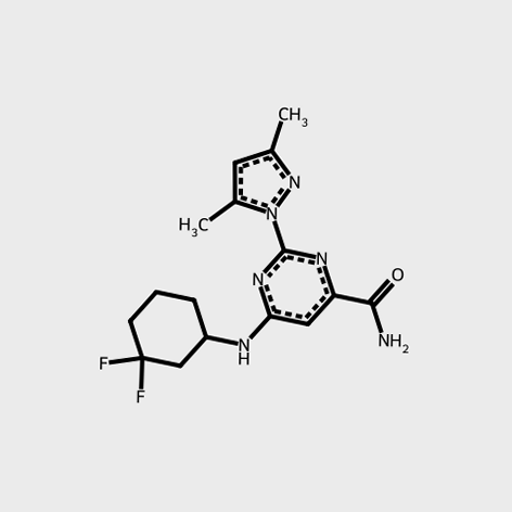 Cc1cc(C)n(-c2nc(NC3CCCC(F)(F)C3)cc(C(N)=O)n2)n1